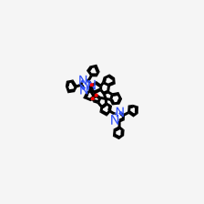 c1ccc(-c2cc(-c3ccccc3)nc(-c3ccc4c(c3)C3(c5cc(-c6nc(-c7ccccc7)nc(-c7ccccc7)n6)ccc5-4)c4ccccc4-c4c3c3c5ccccc5ccc3c3ccccc43)n2)cc1